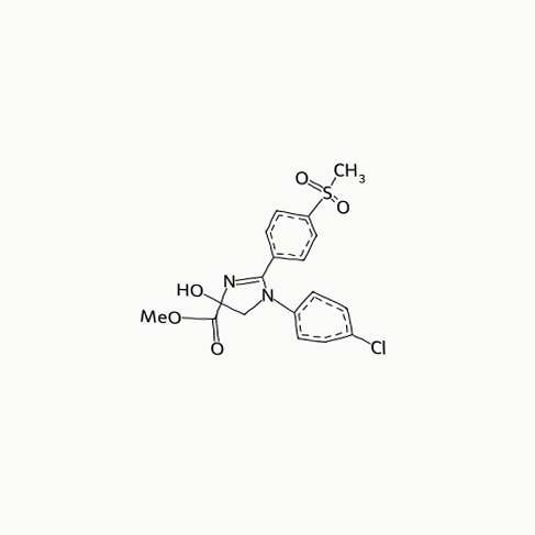 COC(=O)C1(O)CN(c2ccc(Cl)cc2)C(c2ccc(S(C)(=O)=O)cc2)=N1